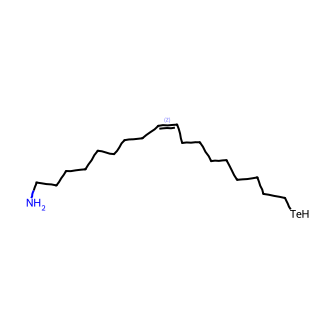 NCCCCCCCC/C=C\CCCCCCCC[TeH]